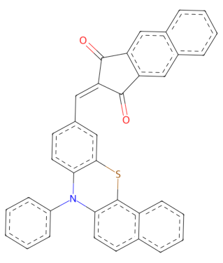 O=C1C(=Cc2ccc3c(c2)Sc2c(ccc4ccccc24)N3c2ccccc2)C(=O)c2cc3ccccc3cc21